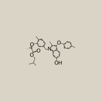 Cc1ccc(Oc2c(C)n(Cc3ccc(C)c(O[C@@H](C)C(=O)OCC(C)C)c3)c3cc(O)ccc23)cc1